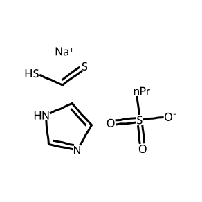 CCCS(=O)(=O)[O-].S=CS.[Na+].c1c[nH]cn1